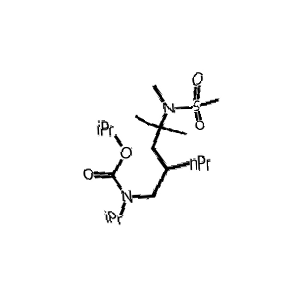 CCCC(CN(C(=O)OC(C)C)C(C)C)CC(C)(C)N(C)S(C)(=O)=O